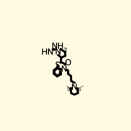 C[C@@H]1CCC[C@H](C)N1CCCCCN1C(=O)C(C2CCCN(C(=N)N)C2)Sc2ccccc21